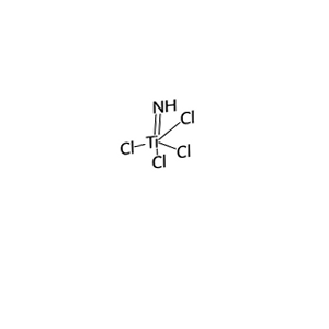 [NH]=[Ti]([Cl])([Cl])([Cl])[Cl]